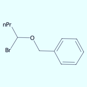 CCCC(Br)OCc1ccccc1